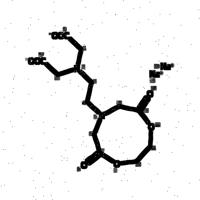 O=C([O-])CN(CCN1CC(=O)OCCOC(=O)C1)CC(=O)[O-].[Na+].[Na+]